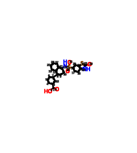 O=C(O)c1cccc(-c2ccc(NS(=O)(=O)c3ccc4[nH]c(=O)sc4c3)c3ccccc23)c1